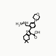 CC1(C)CCc2sc(-c3ccc(N4CCOCC4)cc3CNN)c(C(=O)O)c2C1